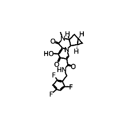 CN1C(=O)c2c(O)c(=O)c(C(=O)NCc3c(F)cc(F)cc3F)cn2C2[C@H]1C[C@H]1C[C@@H]21